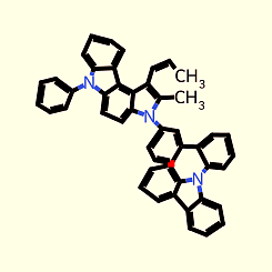 C/C=C\c1c(C)n(-c2cccc(-c3ccccc3-n3c4ccccc4c4ccccc43)c2)c2ccc3c(c4ccccc4n3-c3ccccc3)c12